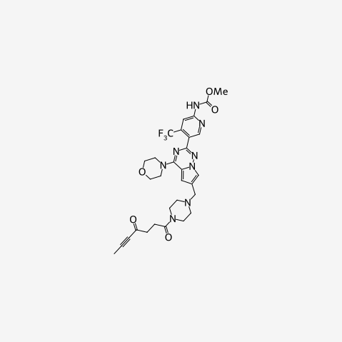 CC#CC(=O)CCC(=O)N1CCN(Cc2cc3c(N4CCOCC4)nc(-c4cnc(NC(=O)OC)cc4C(F)(F)F)nn3c2)CC1